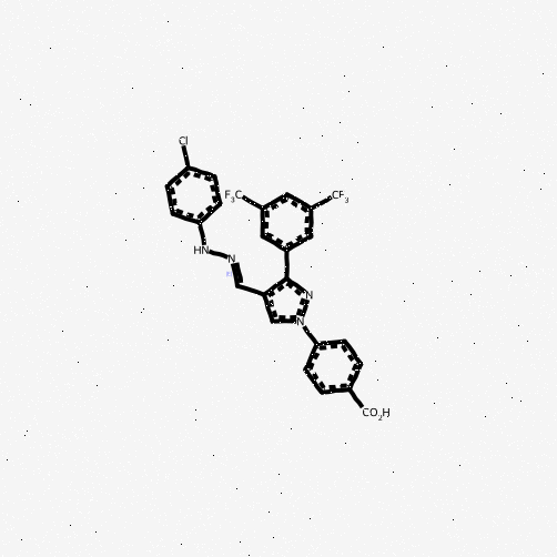 O=C(O)c1ccc(-n2cc(/C=N/Nc3ccc(Cl)cc3)c(-c3cc(C(F)(F)F)cc(C(F)(F)F)c3)n2)cc1